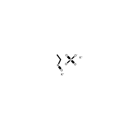 CCN=O.O=S(=O)([O-])[O-].[K+].[K+]